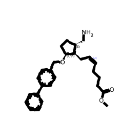 COC(=O)CCC/C=C\C[C@@H]1[C@@H](CN)CC[C@@H]1OCc1ccc(-c2ccccc2)cc1